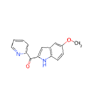 COc1ccc2[nH]c(C(=O)c3ccccn3)cc2c1